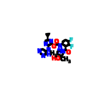 CC(C)(O)CNC(=O)c1c(NC(=O)Oc2nc(C3CC3)cnc2Nc2cncnc2)ccc(F)c1F